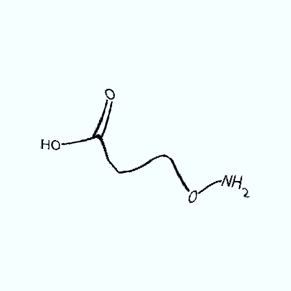 NOCCC(=O)O